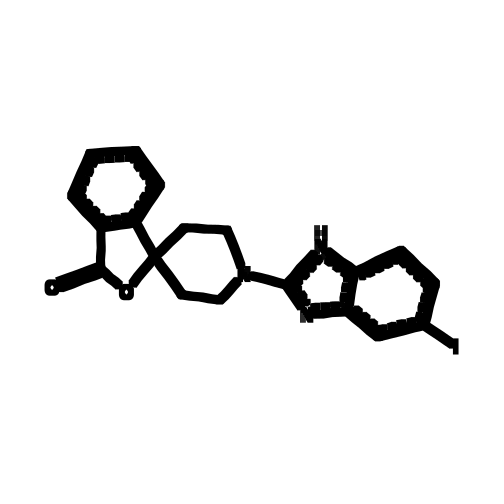 O=C1OC2(CCN(c3nc4cc(I)ccc4[nH]3)CC2)c2ccccc21